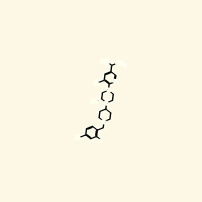 CC[C@H]1CN(c2ncc(C(C)O)cc2Cl)CCN1C1CCN(Cc2ccc(Cl)cc2F)CC1